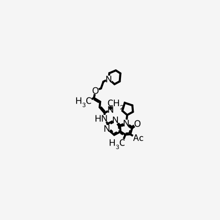 C=N/C(=C\C=C(/C)OCCN1CCCCC1)Nc1ncc2c(C)c(C(C)=O)c(=O)n(C3CCCC3)c2n1